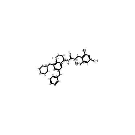 CCc1cc(O)cc(C)c1C[C@H](N)C(=O)N[C@@H]1CCNc2c(CN3CCCCC3)cc(Cc3ccccc3)cc21